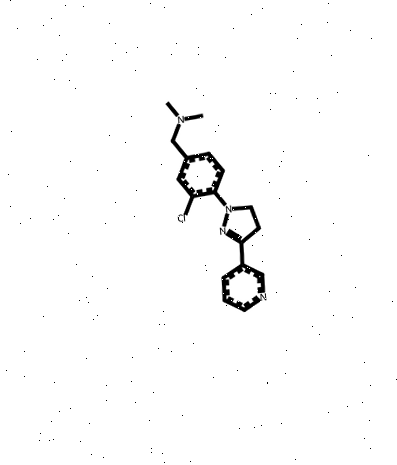 CN(C)Cc1ccc(N2CCC(c3cccnc3)=N2)c(Cl)c1